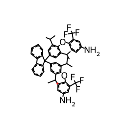 CC(C)c1cc(C2(c3cc(C(C)C)c(Oc4ccc(N)cc4C(F)(F)F)c(C(C)C)c3)c3ccccc3-c3ccccc32)cc(C(C)C)c1Oc1ccc(N)cc1C(F)(F)F